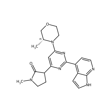 C[C@@H]1COCCN1c1cc(C2CCN(C)C2=O)nc(-c2ccnc3[nH]ccc23)n1